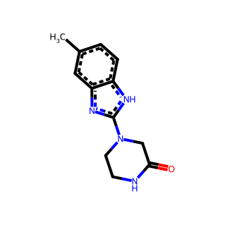 Cc1ccc2[nH]c(N3CCNC(=O)C3)nc2c1